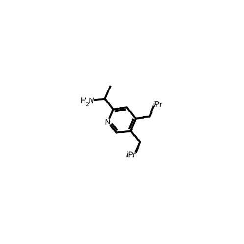 CC(C)Cc1cnc(C(C)N)cc1CC(C)C